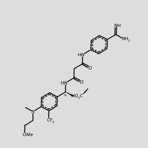 CC(=O)O.COCCN(C)c1ccc([C@H](C)NC(=O)CC(=O)Nc2ccc(C(=N)N)cc2)cc1C(F)(F)F